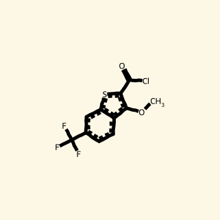 COc1c(C(=O)Cl)sc2cc(C(F)(F)F)ccc12